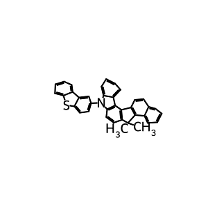 CC1(C)c2ccc3c(c2-c2ccc4ccccc4c21)c1ccccc1n3-c1ccc2sc3ccccc3c2c1